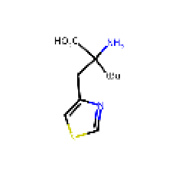 CC(C)(C)C(N)(Cc1cscn1)C(=O)O